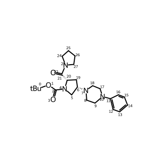 CC(C)(C)OC(=O)N1C[C@@H](N2CCN(c3ccccc3)CC2)C[C@H]1C(=O)N1CCCC1